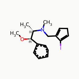 CO[C@H](c1ccccc1)[C@H](C)N(C)CC1=CCC=C1I